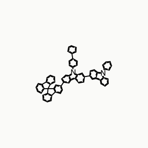 c1ccc(-c2ccc(-n3c4ccc(-c5ccc6c(c5)C5(c7ccccc7-c7ccccc75)c5ccccc5-6)cc4c4ccc(-c5ccc6c(c5)c5ccccc5n6-c5ccccc5)cc43)cc2)cc1